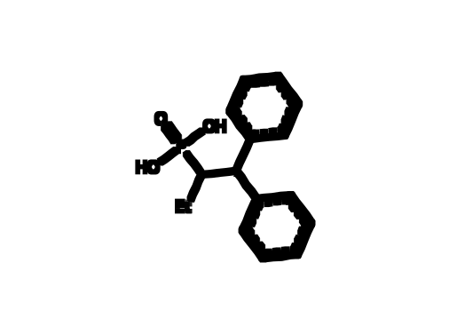 CCC([C](c1ccccc1)c1ccccc1)P(=O)(O)O